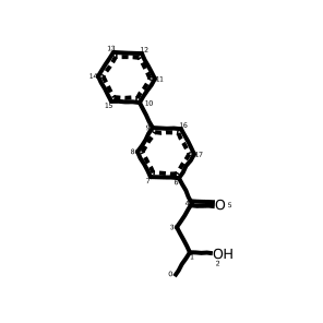 CC(O)CC(=O)c1ccc(-c2ccccc2)cc1